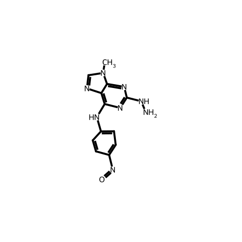 Cn1cnc2c(Nc3ccc(N=O)cc3)nc(NN)nc21